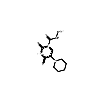 CCCCCCNC(=O)n1cc(N2CCCCC2)c(=O)[nH]c1=O